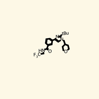 CC(C)(C)c1nc(-c2cccc(C(=O)NCC(F)(F)F)c2)cn1CC1CCOCC1